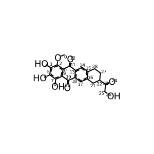 COc1c(O)c(O)c(O)c2c1C(=O)c1cc3c(cc1C2=O)CC(C(=O)CO)CC3